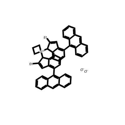 CCC1=Cc2c(-c3c4ccccc4cc4ccccc34)cccc2[CH]1[Zr+2]1([CH]2C(CC)=Cc3c(-c4c5ccccc5cc5ccccc45)cccc32)[CH2]C[CH2]1.[Cl-].[Cl-]